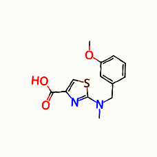 COc1cccc(CN(C)c2nc(C(=O)O)cs2)c1